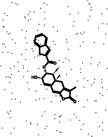 CC1=C2C[C@@]3(C)C(=C[C@H](O)[C@H](OC(=O)c4cc5ccccc5s4)[C@@H]3C)C=C2OC1=O